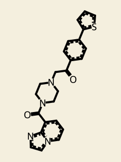 O=C(CN1CCN(C(=O)c2cccn3ccnc23)CC1)c1ccc(-c2cccs2)cc1